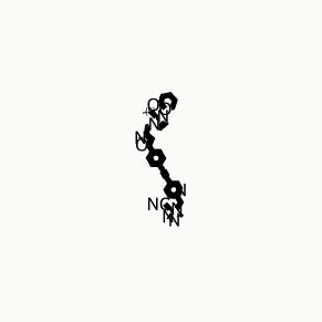 C[C@H](OC1CCCCO1)c1nccn1Cc1cc(-c2ccc(C#Cc3ccc(Cn4cnnc4C#N)nc3)cc2)on1